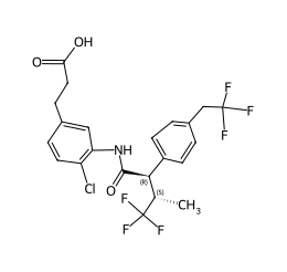 C[C@@H]([C@@H](C(=O)Nc1cc(CCC(=O)O)ccc1Cl)c1ccc(CC(F)(F)F)cc1)C(F)(F)F